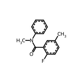 Cc1ccc(F)c(C(=O)N(C)c2ccccc2)c1